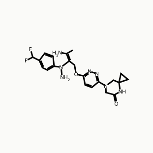 C/C(N)=C(\COc1ccc(N2CC(=O)NC3(CC3)C2)nn1)N(N)c1ccc(C(F)F)cc1